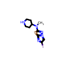 CN(c1nn2cc(I)nc2s1)C1CCNCC1